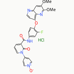 COc1cc2nccc(Oc3ccc(NC(=O)c4cccn(-c5cc[n+]([O-])cc5)c4=O)cc3F)c2nc1OC.Cl